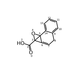 O=C(O)C12OC13C2=CCc1ccccc13